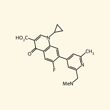 CNCc1cc(-c2cc3c(cc2F)c(=O)c(C(=O)O)cn3C2CC2)cc(C)n1